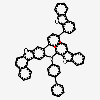 c1ccc(-c2ccc(N(c3cc4c(cc3-c3ccc(-c5cccc6c5oc5ccccc56)cc3)oc3ccc5ccccc5c34)c3cccc4c3oc3ccccc34)cc2)cc1